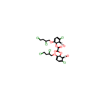 O=C=C1C(Cl)=CC=C(OCC(Cl)CCCl)C1OC(=O)C(=O)OC1C(=C=O)C(Cl)=CC=C1OCC(Cl)CCCl